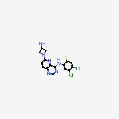 NC1CN(c2ccc3ncnc(Nc4cc(Cl)c(Cl)cc4F)c3n2)C1